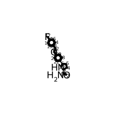 NC(=O)[C@@H]1CC[C@H](c2ccc(OCc3ccc(F)cc3)cc2)N1